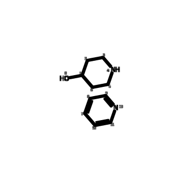 OC1CCNCC1.c1ccncc1